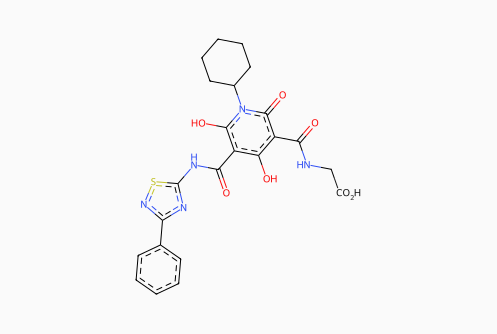 O=C(O)CNC(=O)c1c(O)c(C(=O)Nc2nc(-c3ccccc3)ns2)c(O)n(C2CCCCC2)c1=O